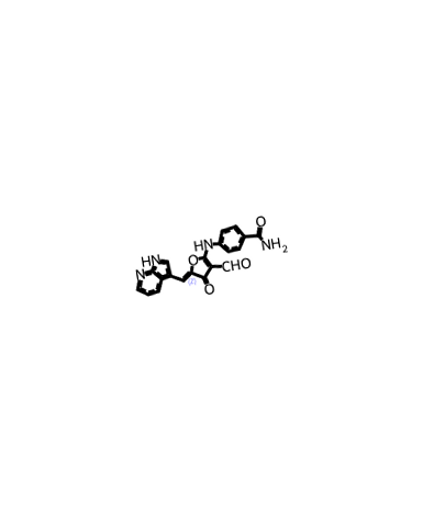 NC(=O)c1ccc(NC2=C(C=O)C(=O)/C(=C/c3c[nH]c4ncccc34)O2)cc1